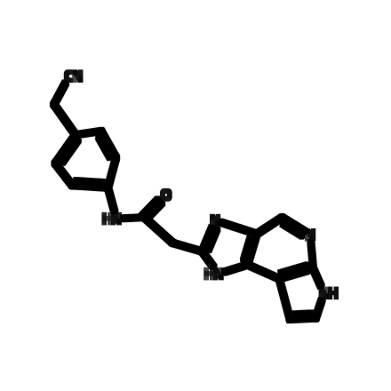 N#CCc1ccc(NC(=O)Cc2nc3cnc4[nH]ccc4c3[nH]2)cc1